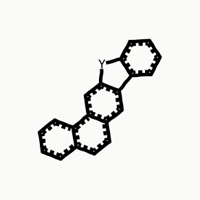 c1ccc2[c](c1)[Y][c]1cc3c(ccc4ccccc43)cc1-2